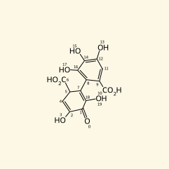 O=C1C(O)=CC(C(=O)O)C(c2c(C(=O)O)cc(O)c(O)c2O)=C1O